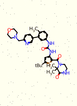 Cc1ccc(NC(=O)Nc2cc(C(C)(C)C)sc2C(=O)N2CCNC(=O)C2(C)C)cc1-c1ccc(CN2CCOCC2)nc1